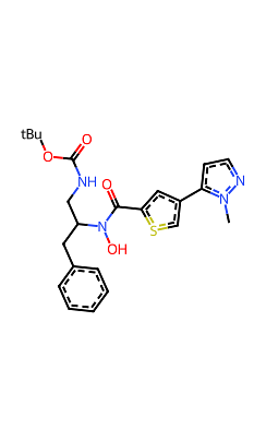 Cn1nccc1-c1csc(C(=O)N(O)C(CNC(=O)OC(C)(C)C)Cc2ccccc2)c1